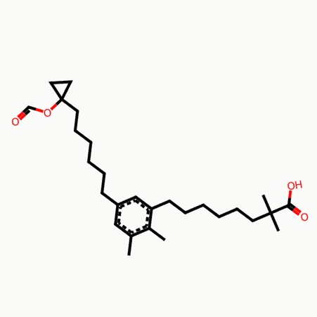 Cc1cc(CCCCCCC2(OC=O)CC2)cc(CCCCCCC(C)(C)C(=O)O)c1C